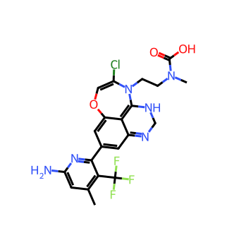 Cc1cc(N)nc(-c2cc3c4c(c2)=NCNC=4N(CCN(C)C(=O)O)C(Cl)=CO3)c1C(F)(F)F